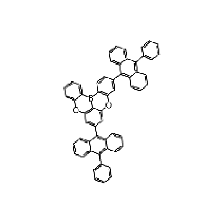 c1ccc(-c2c3ccccc3c(-c3ccc4c(c3)Oc3cc(-c5c6ccccc6c(-c6ccccc6)c6ccccc56)cc5c3B4c3ccccc3O5)c3ccccc23)cc1